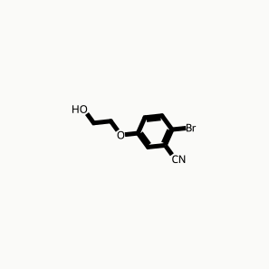 N#Cc1cc(OCCO)ccc1Br